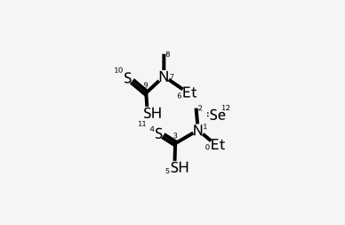 CCN(C)C(=S)S.CCN(C)C(=S)S.[Se]